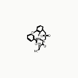 N#CCNC(=O)[C@H](CS(=O)(=O)Cc1cccc(Cl)c1F)NC(=O)c1ccccc1